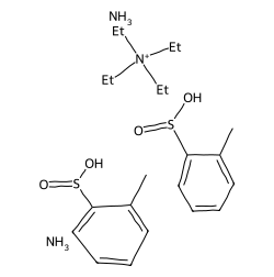 CC[N+](CC)(CC)CC.Cc1ccccc1S(=O)O.Cc1ccccc1S(=O)O.N.N